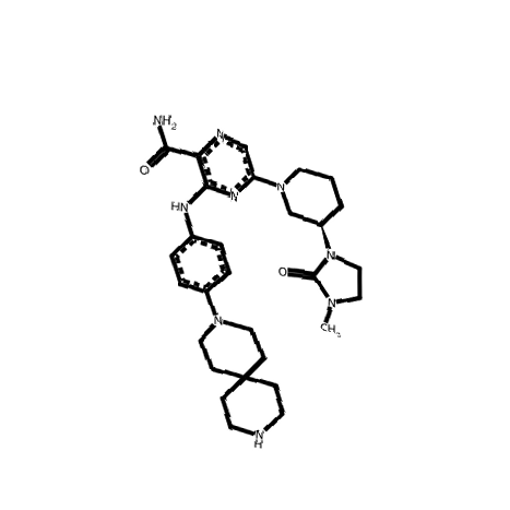 CN1CCN([C@@H]2CCCN(c3cnc(C(N)=O)c(Nc4ccc(N5CCC6(CCNCC6)CC5)cc4)n3)C2)C1=O